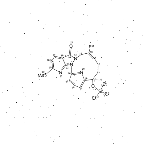 CC[Si](CC)(CC)O[C@]1(C)CC/C=C(/F)Cn2c(=O)c3cnc(SC)nc3n2-c2cccc1n2